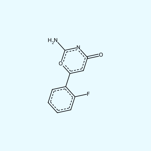 Nc1nc(=O)cc(-c2ccccc2F)o1